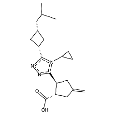 C=C1C[C@H](C(=O)O)[C@@H](c2nnc([C@H]3C[C@@H](CC(C)C)C3)n2C2CC2)C1